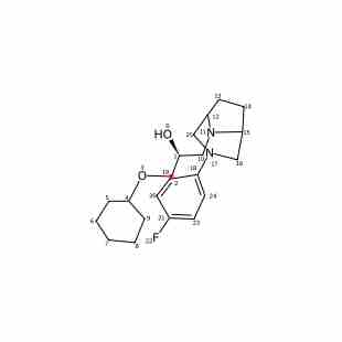 O[C@H](COC1CCCCC1)CN1C2CCC1CN(c1ccc(F)cc1)C2